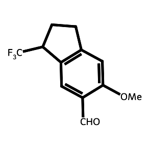 COc1cc2c(cc1C=O)C(C(F)(F)F)CC2